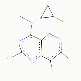 CN(c1nc(Cl)nc2c(F)c(Cl)ncc12)[C@@H]1C[C@H]1F